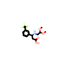 COC(CNC(CC(=O)O)c1cccc(C(F)(F)F)c1)OC